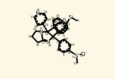 CSc1ccc(C2(c3ccc([S+](C)[O-])cc3)N=C3CCCN3C2(c2ccncc2)c2ccncc2)cc1